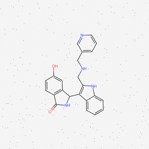 O=C1NC(c2c(CNCc3cccnc3)[nH]c3ccccc23)c2cc(O)ccc21